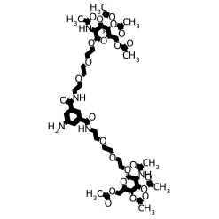 CC(=O)NC1C(OC(C)=O)[C@@H](OC(C)=O)C(COC(C)=O)O[C@H]1OCCOCCOCCNC(=O)c1cc(N)cc(C(=O)NCCOCCOCCO[C@@H]2OC(COC(C)=O)[C@H](OC(C)=O)C(OC(C)=O)C2NC(C)=O)c1